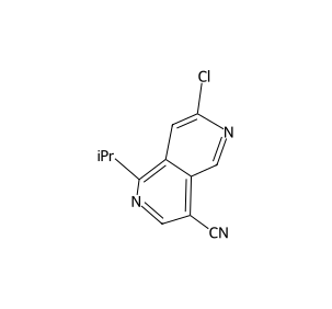 CC(C)c1ncc(C#N)c2cnc(Cl)cc12